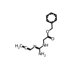 C=C=CN=C(N)NCC(=O)OCc1ccccc1